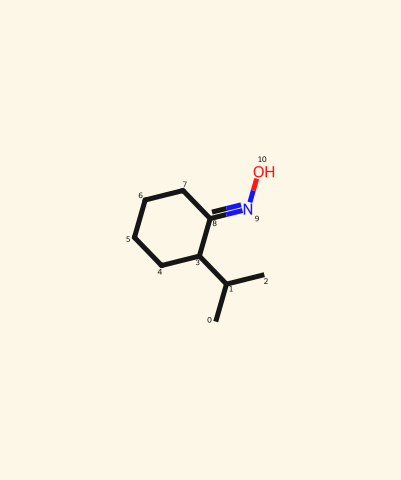 CC(C)C1CCCC/C1=N\O